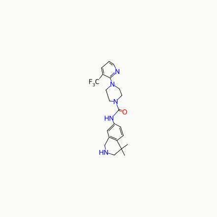 CC1(C)CNCc2cc(NC(=O)N3CCN(c4ncccc4C(F)(F)F)CC3)ccc21